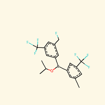 Cc1cc(B(OC(C)C)c2cc(CF)cc(C(F)(F)F)c2)cc(C(F)(F)F)c1